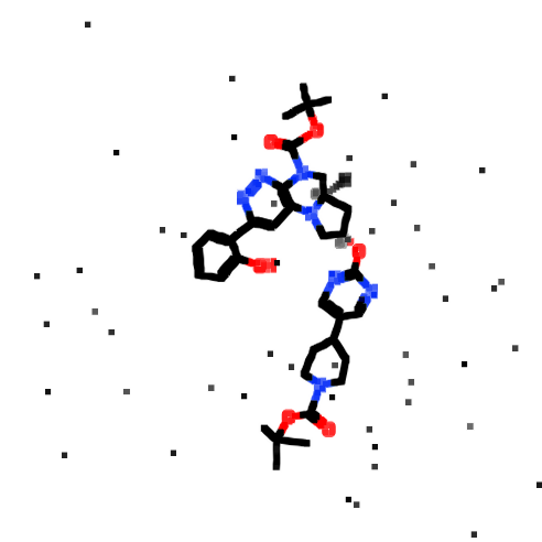 CC(C)(C)OC(=O)N1CCC(c2cnc(O[C@H]3C[C@@H]4CN(C(=O)OC(C)(C)C)c5nnc(-c6ccccc6O)cc5N4C3)nc2)CC1